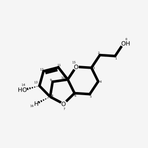 OCCC1CCC2O[C@@H]3CC2(C=C[C@H]3O)O1